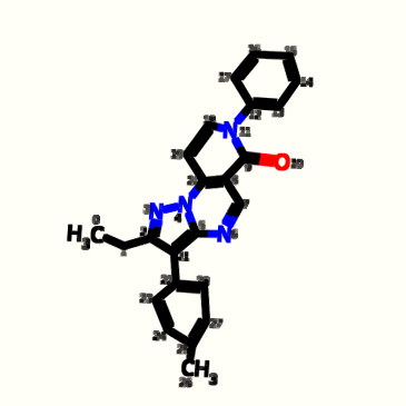 CCc1nn2c(ncc3c(=O)n(-c4ccccc4)ccc32)c1-c1ccc(C)cc1